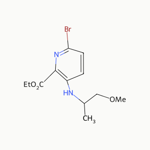 CCOC(=O)c1nc(Br)ccc1NC(C)COC